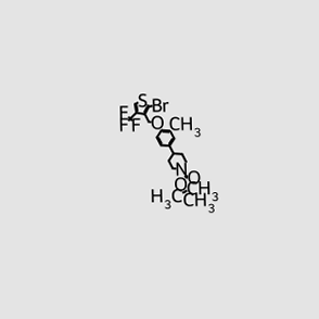 Cc1cc(C2CCN(C(=O)OC(C)(C)C)CC2)ccc1OCc1c(C(F)(F)F)csc1Br